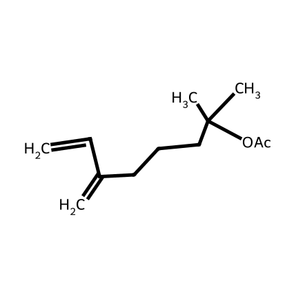 C=CC(=C)CCCC(C)(C)OC(C)=O